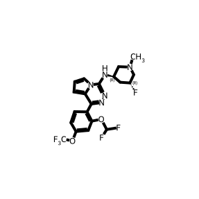 CN1C[C@H](F)C[C@@H](Nc2nnc(-c3ccc(OC(F)(F)F)cc3OC(F)F)c3cccn23)C1